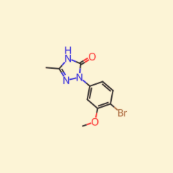 COc1cc(-n2nc(C)[nH]c2=O)ccc1Br